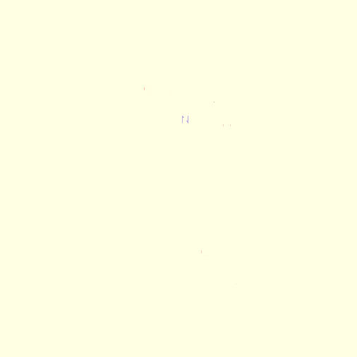 CC(CCN1C(=O)c2ccccc2C1=O)c1ccc(Oc2ccccc2Cl)cc1